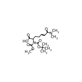 COC(=O)N(C(=O)OC(C)(C)C)C(CC/C=C/C(=O)N(C)C)C(=O)O